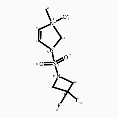 C[N+]1([O-])C=CN(S(=O)(=O)N2CC(F)(F)C2)C1